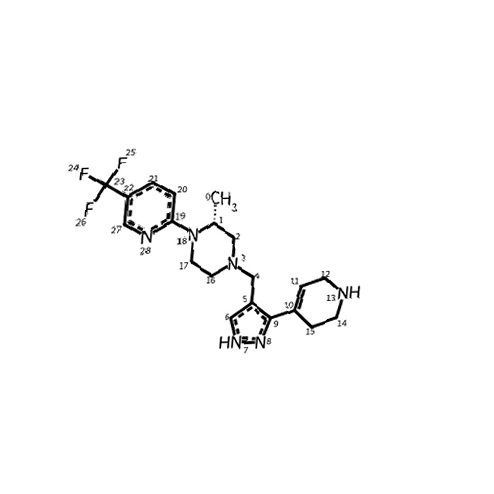 C[C@@H]1CN(Cc2c[nH]nc2C2=CCNCC2)CCN1c1ccc(C(F)(F)F)cn1